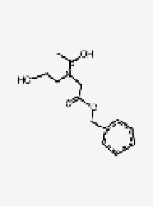 CB(O)N(CCO)CC(=O)OCc1ccccc1